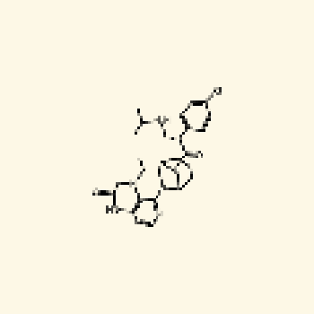 CCN1CC(=O)Nc2ncnc(N3CC4CCCC3CN4C(=O)[C@H](CNC(C)C)c3ccc(Cl)cc3)c21